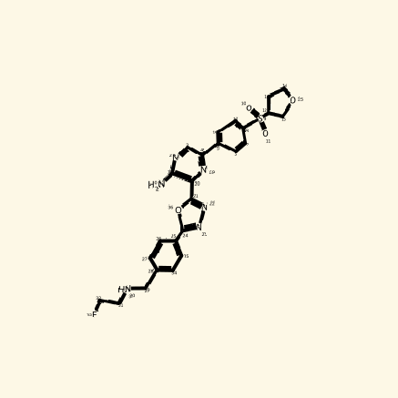 Nc1ncc(-c2ccc(S(=O)(=O)C3CCOC3)cc2)nc1-c1nnc(-c2ccc(CNCCF)cc2)o1